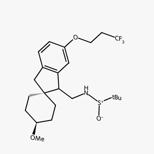 CO[C@H]1CC[C@]2(CC1)Cc1ccc(OCCC(F)(F)F)cc1C2CN[S+]([O-])C(C)(C)C